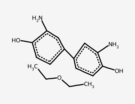 CCOCC.Nc1cc(-c2ccc(O)c(N)c2)ccc1O